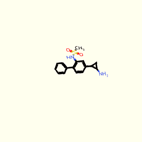 CS(=O)(=O)Nc1cc(C2CC2N)ccc1-c1ccccc1